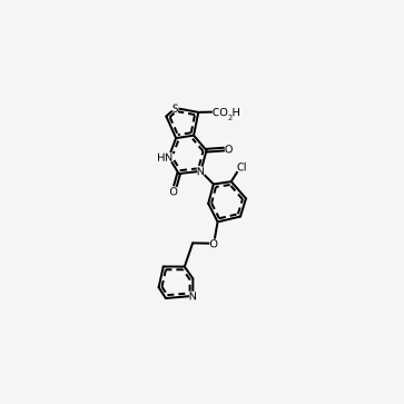 O=C(O)c1scc2[nH]c(=O)n(-c3cc(OCc4cccnc4)ccc3Cl)c(=O)c12